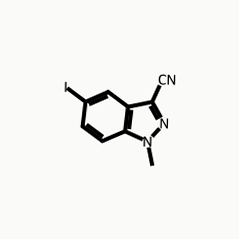 Cn1nc(C#N)c2cc(I)ccc21